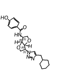 O=C(N[C@H]1CO[C@H]2[C@@H]1OC[C@@H]2n1cc(CC2CCCCC2)nn1)c1ccc(O)cc1